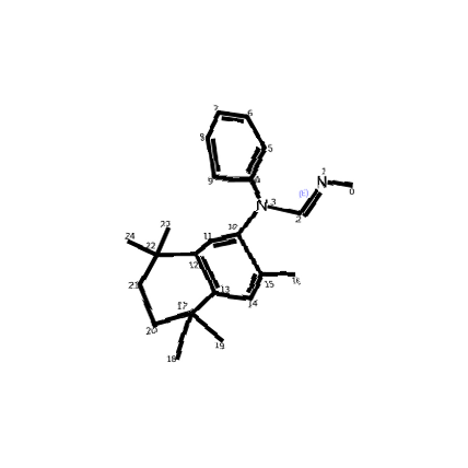 C/N=C/N(c1ccccc1)c1cc2c(cc1C)C(C)(C)CCC2(C)C